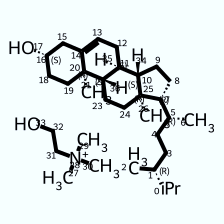 CC(C)[C@H](C)CC[C@@H](C)[C@H]1CC[C@H]2[C@@H]3CC=C4C[C@@H](O)CC[C@]4(C)[C@H]3CC[C@]12C.C[N+](C)(C)CCO